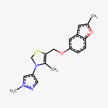 CC1=C(COc2ccc3oc(C)cc3c2)SCN1c1cnn(C)c1